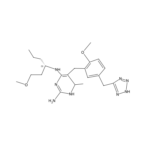 CCC[C@@H](CCOC)NC1=C(Cc2cc(Cc3nn[nH]n3)ccc2OC)C(C)NC(N)=N1